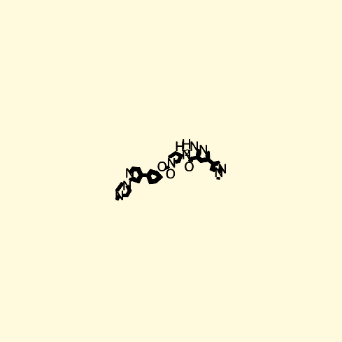 CN1CCN(c2cc(-c3cccc(OC(=O)N4CC[C@@H](NC(=O)c5cc(-c6cnn(C)c6)cnc5N)C4)c3)ccn2)CC1